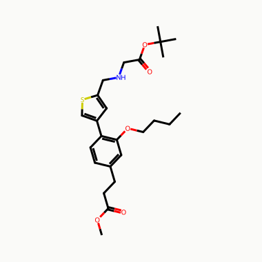 CCCCOc1cc(CCC(=O)OC)ccc1-c1csc(CNCC(=O)OC(C)(C)C)c1